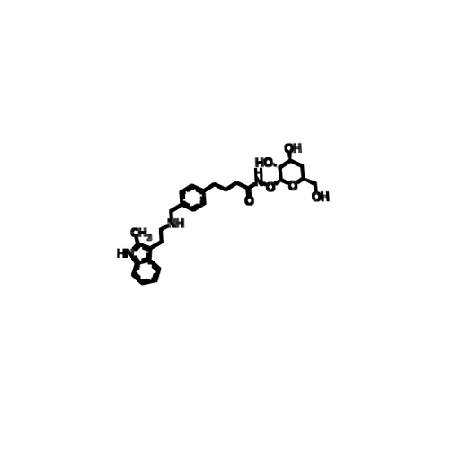 Cc1[nH]c2ccccc2c1CCNCc1ccc(CCCC(=O)NO[C@@H]2O[C@H](CO)C[C@H](O)[C@H]2O)cc1